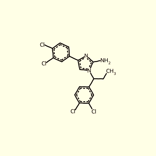 CCC(c1ccc(Cl)c(Cl)c1)n1cc(-c2ccc(Cl)c(Cl)c2)nc1N